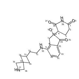 O=C1CCC([N+]2([O-])Cc3c(NCCC4CC5(CNC5)C4)cccc3C2=O)C(=O)N1